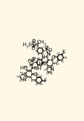 CN(c1ccc2c(c1)S(=O)(=O)N=C(C1=C(O)C3C4C=CN(C4)C3C(Cc3ccc(F)cc3)C1=O)N2c1ccc2c(c1)S(=O)(=O)N=C(C1=C(O)C3C4C=CN(C4)C3C(Cc3ccc(F)cc3)C1=O)N2)S(C)(=O)=O